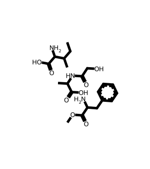 CC(NC(=O)CO)C(=O)O.CCC(C)C(N)C(=O)O.COC(=O)C(N)Cc1ccccc1